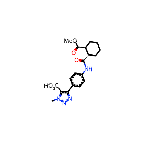 COC(=O)[C@H]1CCCC[C@@H]1C(=O)Nc1ccc(-c2nnn(C)c2C(=O)O)cc1